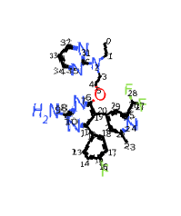 CCN(CCOc1nc(N)nc(-c2ccc(F)cc2)c1-c1cc(C)nc(C(F)F)c1)c1ncccn1